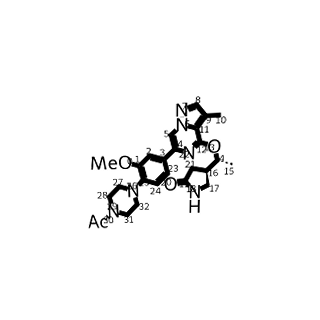 COc1cc(-c2cn3ncc(C)c3c(O[C@H](C)[C@H]3CNC(=O)C3)n2)ccc1N1CCN(C(C)=O)CC1